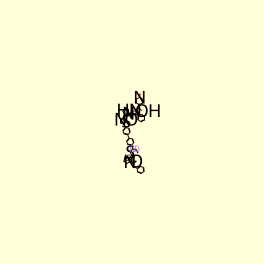 C=C(S/C(=C\C)c1ccc(-c2ccc(-c3cnc(C4CCCN4C(=O)[C@H](NC(O)C4CCN(C)CC4)c4ccccc4)s3)cc2)cc1)[C@@H]1CCCN1C(=O)Cc1ccccc1